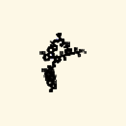 C=C1/C(=C\C=C2/CCC[C@@]3(C)C2CCC3[C@@H](C)/C=C/C(OC(=O)NC(C)(C)C(=O)NC(CCCNC(N)=O)C(=O)Nc2ccc(COC(=O)O[C@H]3[C@]45O[C@H]4C[C@H]4C6=C(CC[C@]4(C)[C@@]54O[C@H]4C[C@@]3(O)C(C)C)C(=O)OC6)cc2)C2CC2)CCC[C@@H]1O